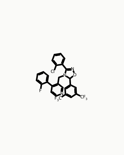 Fc1ccccc1-c1ccncc1CN1C(c2ccccc2Cl)=NOC1c1cc(C(F)(F)F)cc(C(F)(F)F)c1